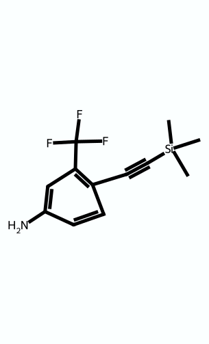 C[Si](C)(C)C#Cc1ccc(N)cc1C(F)(F)F